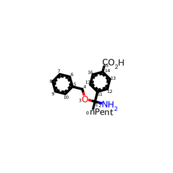 CCCCCC(N)(OCc1ccccc1)c1ccc(C(=O)O)cc1